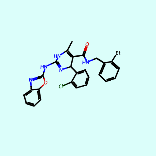 CCc1ccccc1CNC(=O)C1=C(C)NC(Nc2nc3ccccc3o2)=NC1c1ccccc1Cl